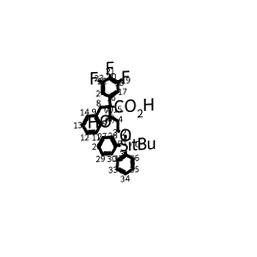 CC(C)(C)[Si](OCC[C@@H](O)[C@@](Cc1ccccc1)(C(=O)O)c1cc(F)c(F)c(F)c1)(c1ccccc1)c1ccccc1